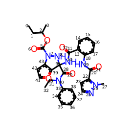 CCC(C)OC(=O)N1NC(NC(=O)c2ccccc2NC(=O)c2ccnn2C)(C(=O)N(CC)c2ccccc2)c2occc21